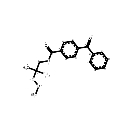 CC(C)(C)OOC(C)(C)COC(=O)c1ccc(C(=O)c2ccccc2)cc1